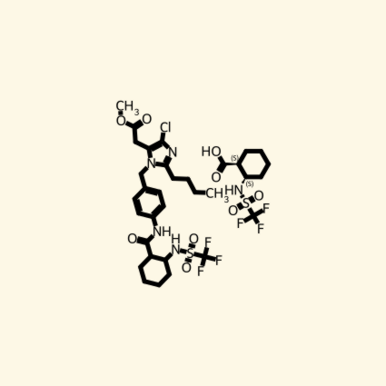 CCCCc1nc(Cl)c(CC(=O)OC)n1Cc1ccc(NC(=O)C2CCCCC2NS(=O)(=O)C(F)(F)F)cc1.O=C(O)[C@H]1CCCC[C@@H]1NS(=O)(=O)C(F)(F)F